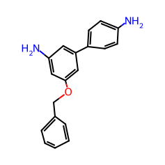 Nc1ccc(-c2cc(N)cc(OCc3ccccc3)c2)cc1